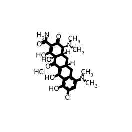 CN(C)c1cc(Cl)c(O)c2c1C[C@H]1C[C@H]3[C@H](N(C)C)C(=O)C(C(N)=O)=C(O)[C@@]3(O)C(=O)C1=C2O.Cl